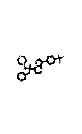 CC(Cc1ccccc1)(C(=O)N1CCOCC1)c1ccnc2c(-c3ccc(C(F)(F)F)cc3)cnn12